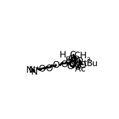 CC(=O)N(C(=O)OC(C)(C)C)[C@H]1CO[C@H](COCCOCCOCCOCCN=[N+]=[N-])[C@@H]2OC(C)(C)O[C@@H]21